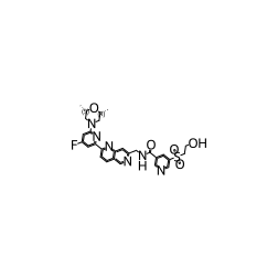 C[C@@H]1CN(c2cc(F)cc(-c3ccc4cnc(CNC(=O)c5cncc(S(=O)(=O)CCO)c5)cc4n3)n2)C[C@H](C)O1